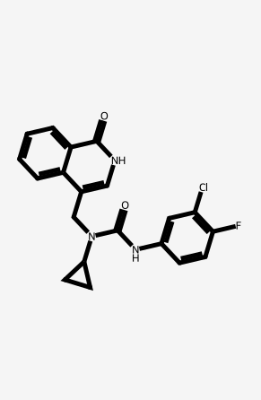 O=C(Nc1ccc(F)c(Cl)c1)N(Cc1c[nH]c(=O)c2ccccc12)C1CC1